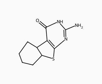 Nc1nc2c(c(=O)[nH]1)C1CCCCC1S2